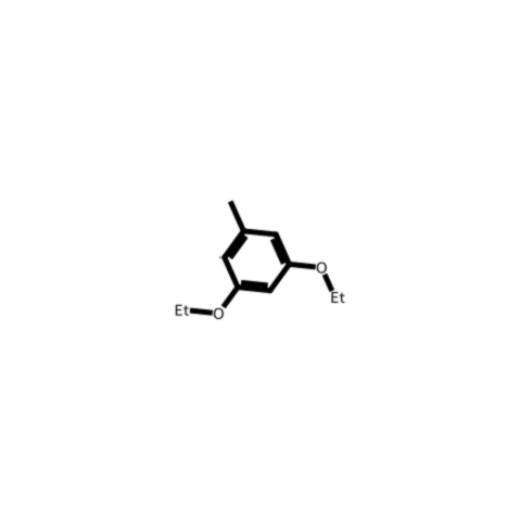 CCOc1[c]c(C)cc(OCC)c1